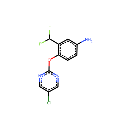 Nc1ccc(Oc2ncc(Cl)cn2)c(C(F)F)c1